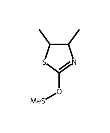 CSOC1=NC(C)C(C)S1